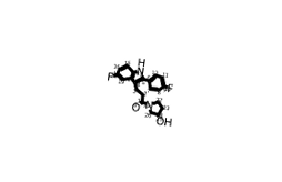 O=C(CCc1c(-c2ccc(F)cc2)[nH]c2ccc(F)cc12)N1CCC(O)C1